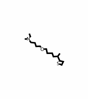 CCN(C)CCCCOCCCCC(C)C1CCS1